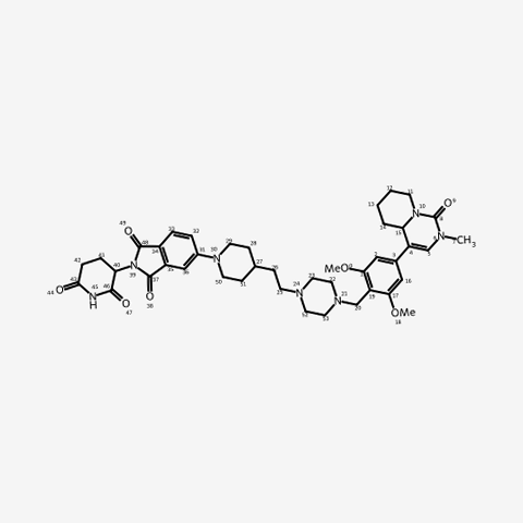 COc1cc(C2=CN(C)C(=O)N3CCCCC23)cc(OC)c1CN1CCN(CCC2CCN(c3ccc4c(c3)C(=O)N(C3CCC(=O)NC3=O)C4=O)CC2)CC1